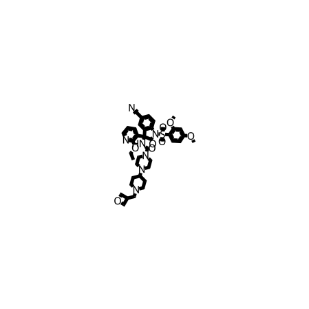 CCOc1ncccc1C1(NC(=O)N2CCN(C3CCN(CC4COC4)CC3)CC2)C(=O)N(S(=O)(=O)c2ccc(OC)cc2OC)c2ccc(C#N)cc21